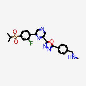 CNCc1ccc(-c2nnc(-c3cncc(-c4ccc(S(=O)(=O)C(C)C)cc4F)n3)o2)cc1